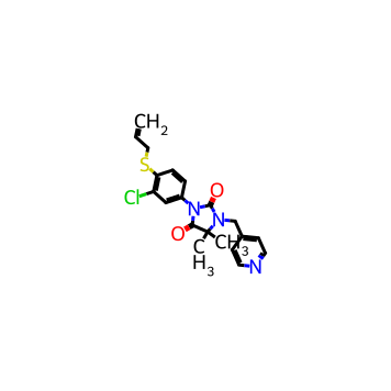 C=CCSc1ccc(N2C(=O)N(Cc3ccncc3)C(C)(C)C2=O)cc1Cl